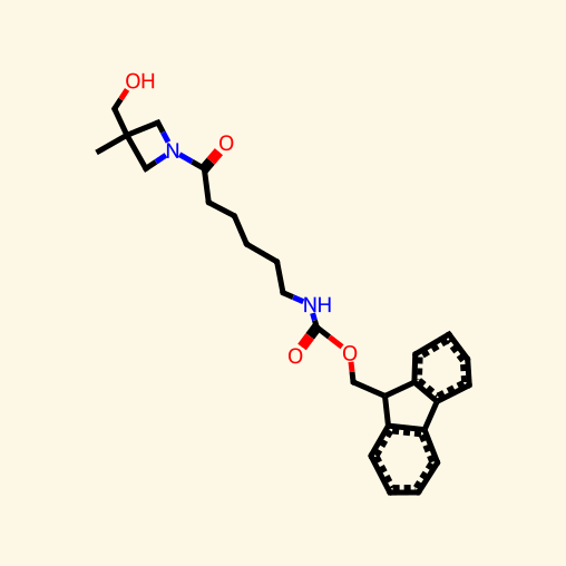 CC1(CO)CN(C(=O)CCCCCNC(=O)OCC2c3ccccc3-c3ccccc32)C1